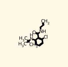 C=CCNC(=O)c1c(Cl)cccc1NC(C)(C)C